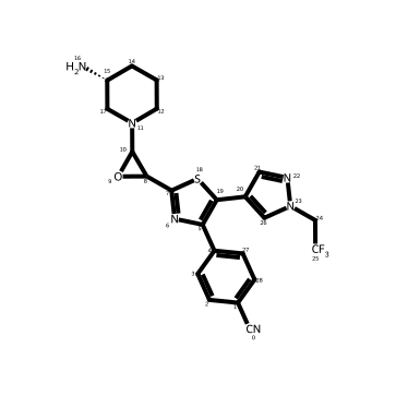 N#Cc1ccc(-c2nc(C3OC3N3CCC[C@@H](N)C3)sc2-c2cnn(CC(F)(F)F)c2)cc1